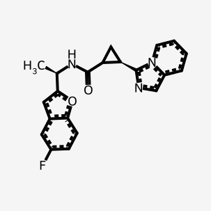 C[C@@H](NC(=O)C1C[C@H]1c1ncc2ccccn12)c1cc2cc(F)ccc2o1